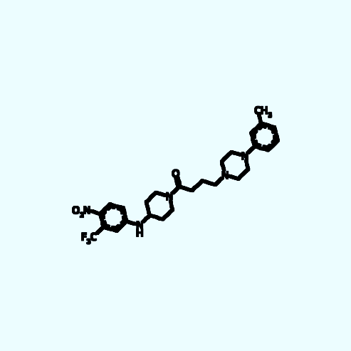 Cc1cccc(N2CCN(CCCC(=O)N3CCC(Nc4ccc([N+](=O)[O-])c(C(F)(F)F)c4)CC3)CC2)c1